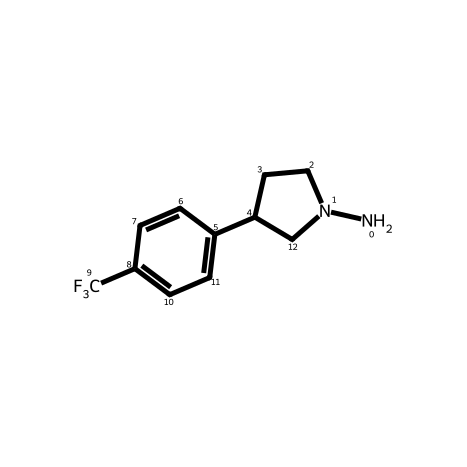 NN1CCC(c2ccc(C(F)(F)F)cc2)C1